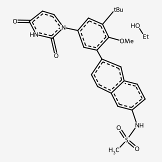 CCO.COc1c(-c2ccc3cc(NS(C)(=O)=O)ccc3c2)cc(-n2ccc(=O)[nH]c2=O)cc1C(C)(C)C